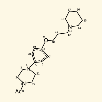 CC(=O)N1CCN(c2ccc(OCCCN3CCCCC3)cc2)CC1